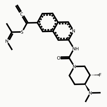 C=C=C(S/C(C)=N\C)c1ccc2cnc(NC(=O)N3CC[C@H](N(C)C)[C@@H](F)C3)cc2c1